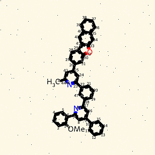 COc1ccccc1-c1cc(-c2ccccc2)cc(-c2cccc(-c3cc(-c4ccc5c(c4)oc4cc6ccccc6cc45)cc(C)n3)c2)n1